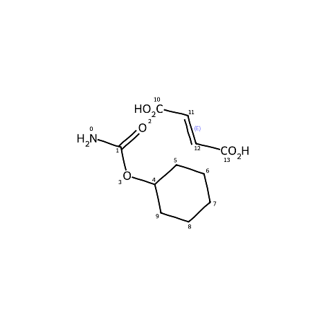 NC(=O)OC1CCCCC1.O=C(O)/C=C/C(=O)O